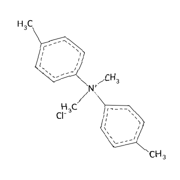 Cc1ccc([N+](C)(C)c2ccc(C)cc2)cc1.[Cl-]